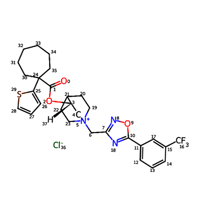 O=C(O[C@H]1C[N+]2(Cc3noc(-c4cccc(C(F)(F)F)c4)n3)CCC1CC2)C1(c2cccs2)CCCCCC1.[Cl-]